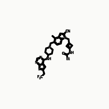 CCC(=O)NC12CC(Cn3c(C#N)cc4c(C)c(CN5CCC(Nc6ncnc7sc(CC(F)(F)F)cc67)CC5)ccc43)(C1)C2